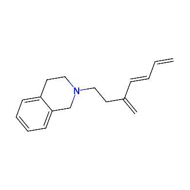 C=CC=CC(=C)CCN1CCc2ccccc2C1